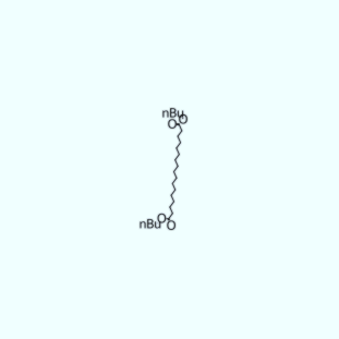 CCCCOC(=O)CCCCCCCCCCCCCCCC(=O)OCCCC